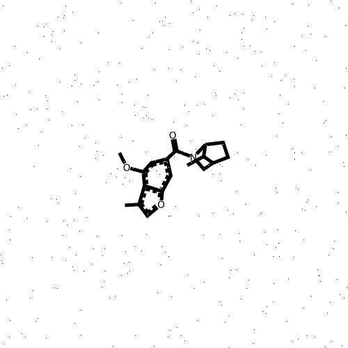 COc1cc(C(=O)N2CC3CCC2C3C)cc2occ(C)c12